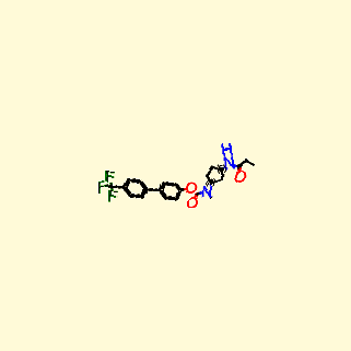 CCC(=O)N[C@H]1CC[C@@H](N(C)C(=O)Oc2ccc(-c3ccc(C(F)(F)F)cc3)cc2)C1